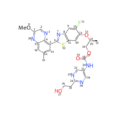 COc1cnc2c(-c3nc4cc(F)c(O[C@@H](C)COC(=O)Nc5cnc(CCO)nc5)cc4s3)cc(C)cc2n1